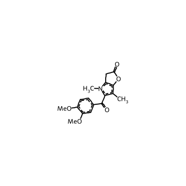 COc1ccc(C(=O)c2c(C)c3c(n2C)CC(=O)O3)cc1OC